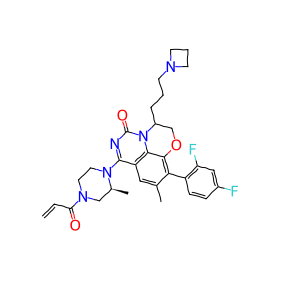 C=CC(=O)N1CCN(c2nc(=O)n3c4c(c(-c5ccc(F)cc5F)c(C)cc24)OCC3CCCN2CCC2)[C@@H](C)C1